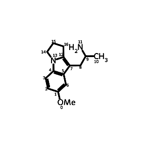 COc1ccc2c(c1)c(CC(C)N)c1n2CCC1